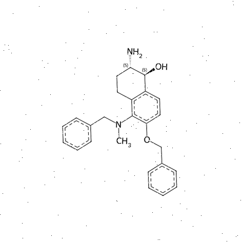 CN(Cc1ccccc1)c1c(OCc2ccccc2)ccc2c1CC[C@H](N)[C@H]2O